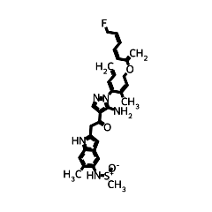 C=C/C=C(\C(C)=C/COC(=C)/C=C\C=C/CF)n1ncc(C(=O)Cc2cc3cc(N[S+](C)[O-])c(C)cc3[nH]2)c1N